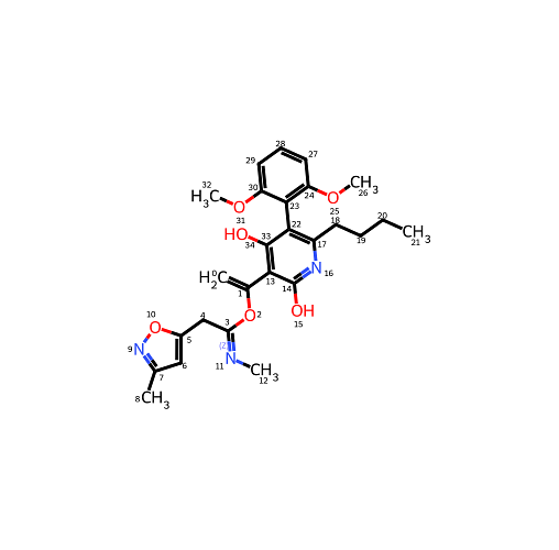 C=C(O/C(Cc1cc(C)no1)=N\C)c1c(O)nc(CCCC)c(-c2c(OC)cccc2OC)c1O